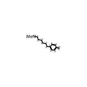 CNCCCCCCc1ccc(F)cc1